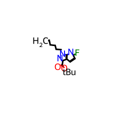 C=CCCCCn1nc(C(=O)OC(C)(C)C)c2ccc(F)nc21